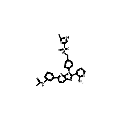 CC(=O)Nc1cccc(-c2ccc3nc(-c4cccnc4N)n(-c4ccc(CNS(=O)(=O)c5c[nH]c(C)n5)cc4)c3n2)c1